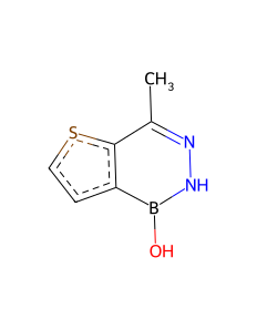 CC1=NNB(O)c2ccsc21